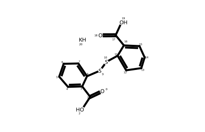 O=C(O)c1ccccc1SSc1ccccc1C(=O)O.[KH]